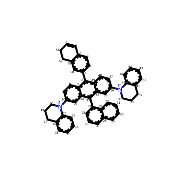 C1=Cc2ccc(-c3c4ccc(N5CCCc6ccccc65)cc4c(-c4cccc5ccccc45)c4cc(N5CCCc6ccccc65)ccc34)cc2CC1